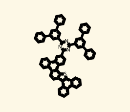 c1ccc(-c2cc(-c3ccccc3)cc(-c3nc(-c4cc(-c5ccccc5)cc(-c5ccccc5)c4)nc(-c4ccc5c(c4)c4ccccc4c4ccc6c(sc7c8ccccc8c8ccccc8c67)c45)n3)c2)cc1